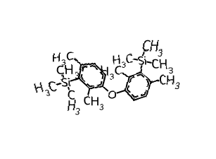 Cc1ccc(Oc2ccc(C)c([Si](C)(C)C)c2C)c(C)c1[Si](C)(C)C